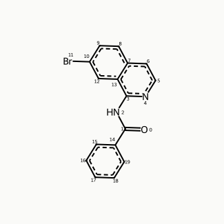 O=C(Nc1nccc2ccc(Br)cc12)c1ccccc1